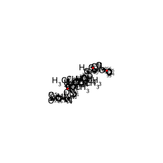 C=C(C)[C@@H]1CC[C@]2(C(=O)N3CCC[C@H]3c3ncc(-c4ccc([N+](=O)[O-])cc4)[nH]3)CC[C@]3(C)[C@H](CC[C@@H]4[C@@]5(C)CC[C@H](OC(=O)[C@H]6C[C@@H](C(=O)OCc7ccccc7)C6(C)C)C(C)(C)[C@@H]5CC[C@]43C)[C@@H]12